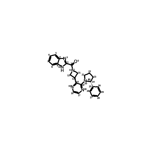 O=C(c1nc2ccccc2[nH]1)N1CC(c2nccnc2N2CCC[C@@H]2c2ccccc2)C1